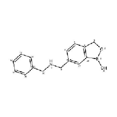 OB1OCc2ccc(CNCc3ccccc3)cc21